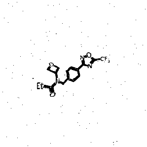 CCC(=O)N(Cc1ccc(-c2noc(C(F)(F)F)n2)cc1)C1COC1